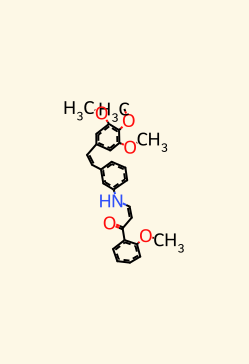 COc1ccccc1C(=O)/C=C\Nc1cccc(/C=C\c2cc(OC)c(OC)c(OC)c2)c1